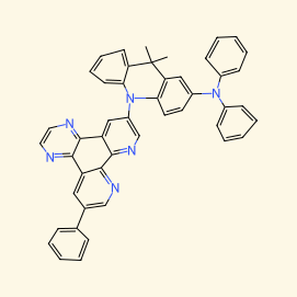 CC1(C)c2ccccc2N(c2cnc3c(c2)c2nccnc2c2cc(-c4ccccc4)cnc23)c2ccc(N(c3ccccc3)c3ccccc3)cc21